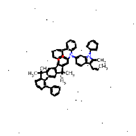 C/C=C\c1c(C)n(-c2ccccc2)c2cc(N(c3ccc4c(c3)C(C)(C)c3cc5c(cc3-4)C(C)(C)c3cccc(-c4ccccc4)c3-5)c3ccccc3-c3ccccc3)ccc12